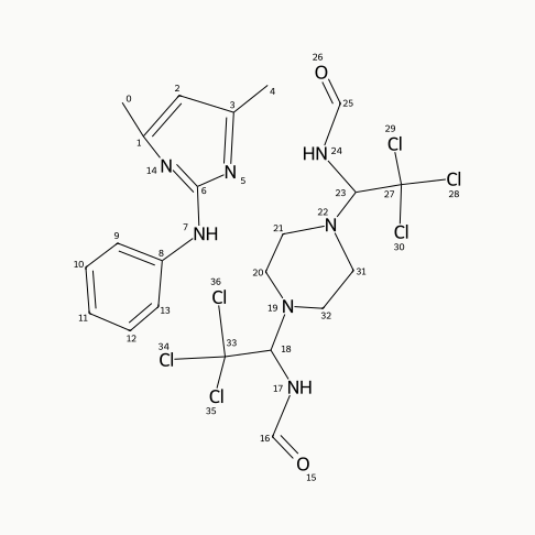 Cc1cc(C)nc(Nc2ccccc2)n1.O=CNC(N1CCN(C(NC=O)C(Cl)(Cl)Cl)CC1)C(Cl)(Cl)Cl